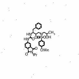 COc1ccc(S(=O)(=O)N(CC(C)O)CC(O)C(Cc2ccccc2)NC(=O)Nc2ccc3c(c2)C(=O)N(C(C)C)C3=O)cc1